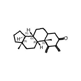 C=C1C(=C)[C@@]2(C)C(CC[C@@H]3[C@H]2CC[C@]2(C)CCC[C@@H]32)CC1=O